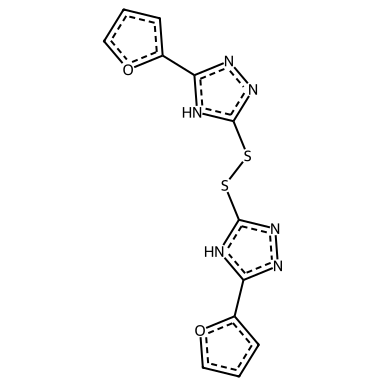 c1coc(-c2nnc(SSc3nnc(-c4ccco4)[nH]3)[nH]2)c1